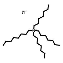 CCCCCCCC[N+](CCCCCCC)(CCCCCCC)CCCCCCC.[Cl-]